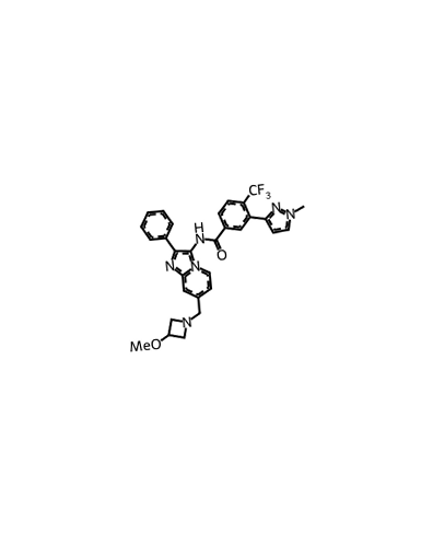 COC1CN(Cc2ccn3c(NC(=O)c4ccc(C(F)(F)F)c(-c5ccn(C)n5)c4)c(-c4ccccc4)nc3c2)C1